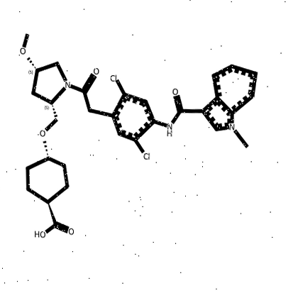 CO[C@H]1C[C@@H](CO[C@H]2CC[C@H](C(=O)O)CC2)N(C(=O)Cc2cc(Cl)c(NC(=O)c3cn(C)c4ccccc34)cc2Cl)C1